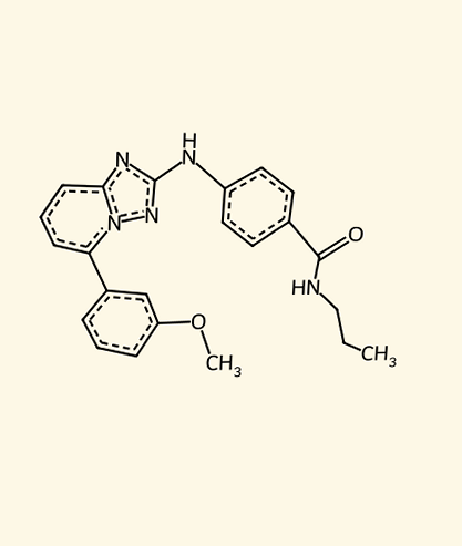 CCCNC(=O)c1ccc(Nc2nc3cccc(-c4cccc(OC)c4)n3n2)cc1